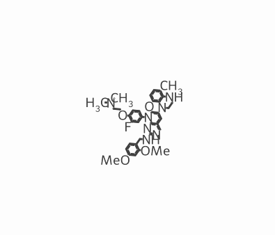 COc1ccc(CNc2ncc3cc(N4CCNc5c(C)cccc54)c(=O)n(-c4ccc(OCCN(C)C)c(F)c4)c3n2)c(OC)c1